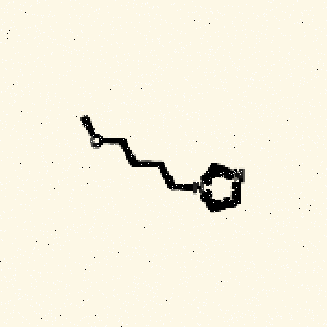 COCCCCn1ccnc1